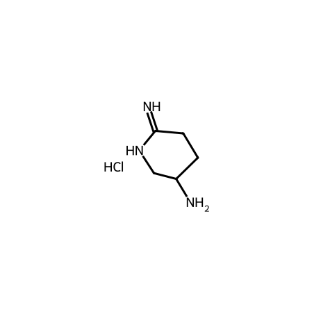 Cl.N=C1CCC(N)CN1